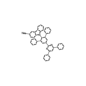 N#Cc1ccc2c(c1)c1ccccc1n2-c1c(-c2ccccc2)cc(-c2nc(-c3ccccc3)cc(-c3ccccc3)n2)cc1-c1ccccc1